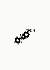 O=C(O)c1ccc2cc(-c3ccccc3)oc2c1